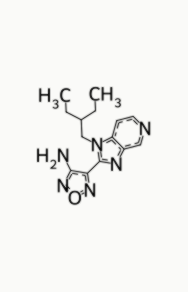 CCC(CC)Cn1c(-c2nonc2N)nc2cnccc21